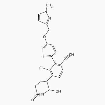 C#Cc1ccc(C2CCC(=O)NC2O)c(Cl)c1-c1ccc(OCc2ccn(C)n2)cc1